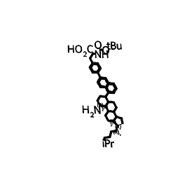 CC(C)CCC[C@@H](C)[C@H]1CCC2C3CCC4C(c5cccc6cc(-c7ccc(CC(NC(=O)OC(C)(C)C)C(=O)O)cc7)ccc56)CC[C@@H](N)[C@]4(C)C3CC[C@@]21C